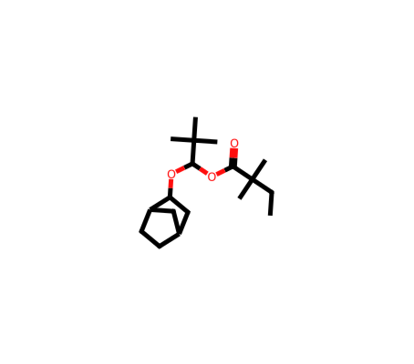 CCC(C)(C)C(=O)OC(OC1CC2CCC1C2)C(C)(C)C